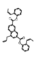 C=CCc1cc(C(=O)Oc2ccccc2/C=C\C)cc2cc(C(=O)Oc3ccccc3/C=C\C)ccc12